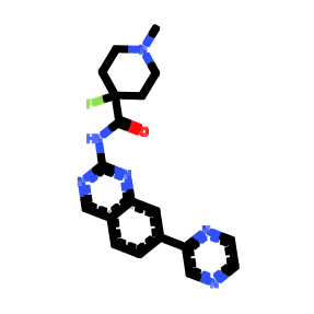 CN1CCC(F)(C(=O)Nc2ncc3ccc(-c4cnccn4)cc3n2)CC1